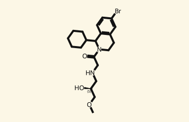 COC[C@@H](O)CNCC(=O)N1CCc2cc(Br)ccc2C1C1CCCCC1